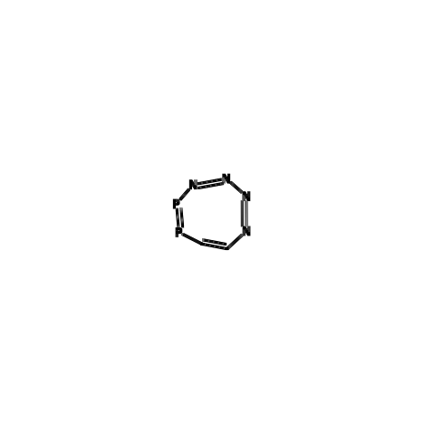 C1=C\P=P/N=N\N=N/1